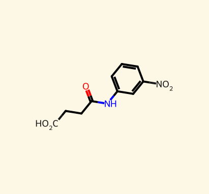 O=C(O)CCC(=O)Nc1cccc([N+](=O)[O-])c1